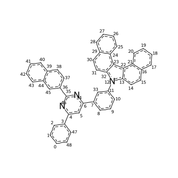 c1ccc(-c2cc(-c3cccc(-n4c5ccc6ccccc6c5c5c6ccccc6ccc54)c3)nc(-c3ccc4ccccc4c3)n2)cc1